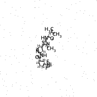 Cc1nc(NC(=O)CC(C)C)sc1-c1ccnc(NC(=O)c2cccc(C(F)(F)F)c2)c1